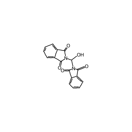 O=C1c2ccccc2C(=O)N1C(O)N1C(=O)c2ccccc2C1=O